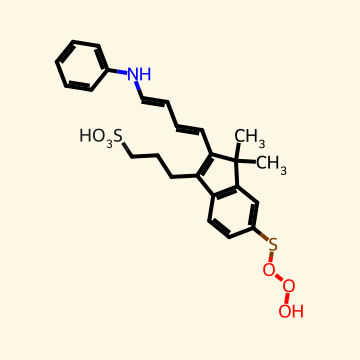 CC1(C)C(/C=C/C=C/Nc2ccccc2)=C(CCCS(=O)(=O)O)c2ccc(SOOO)cc21